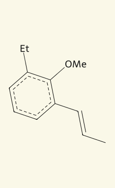 CC=Cc1cccc(CC)c1OC